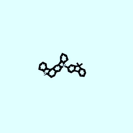 CC1(C)c2ccccc2-c2ccc(-n3c4ccccc4c4cc5c(ccc6sc7ccccc7c65)cc43)cc21